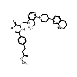 CCc1c(NC[C@H](NC(=O)c2ccc(CCC(=O)OC)cc2)C(=O)O)ncnc1N1CCC(c2ccc3c(n2)NCCC3)CC1